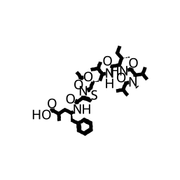 CC[C@H](C)[C@H](NC(=O)C(C(C)C)N(C)C(=O)C(C)C)C(=O)NC(C[C@@H](OC(C)=O)c1nc(C(=O)N[C@@H](Cc2ccccc2)CC(C)C(=O)O)cs1)C(C)C